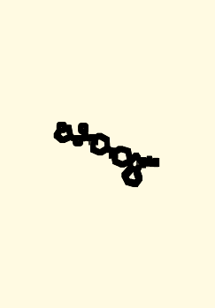 CC(=O)N1CC2(CCN(C3CCN(C(=O)OC4CCOC4)CC3)CC2)c2ccccc21